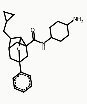 NC1CCC(NC(=O)C23CC4CC(c5ccccc5)(CC2C4CC2CC2)C3)CC1